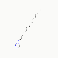 CCCCCCCCCCCCCCCN1C=NCC1